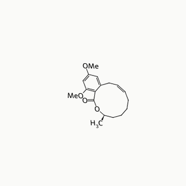 COc1cc2c(c(OC)c1)C(=O)O[C@H](C)CCCC/C=C\C2